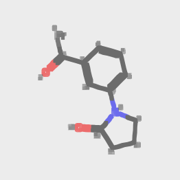 CC(C)C(=O)c1cccc(N2CCCC2=O)c1